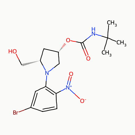 CC(C)(C)NC(=O)O[C@H]1C[C@@H](CO)N(c2cc(Br)ccc2[N+](=O)[O-])C1